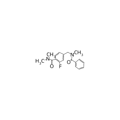 CN(C)C(=O)c1ccc(CN(C)C(=O)c2ccccc2)cc1F